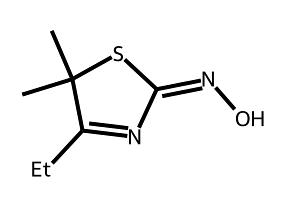 CCC1=NC(=NO)SC1(C)C